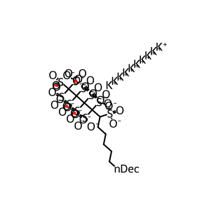 CCCCCCCCCCCCCCCC(C(C(C(C(S(=O)(=O)[O-])(S(=O)(=O)[O-])S(=O)(=O)[O-])(S(=O)(=O)[O-])S(=O)(=O)[O-])(S(=O)(=O)[O-])S(=O)(=O)[O-])(S(=O)(=O)[O-])S(=O)(=O)[O-])S(=O)(=O)[O-].[K+].[K+].[K+].[K+].[K+].[K+].[K+].[K+].[K+].[K+]